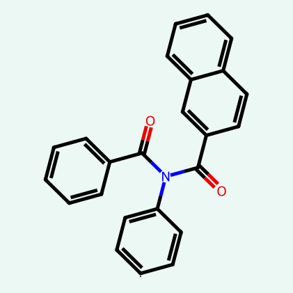 O=C(c1ccccc1)N(C(=O)c1ccc2ccccc2c1)c1cc[c]cc1